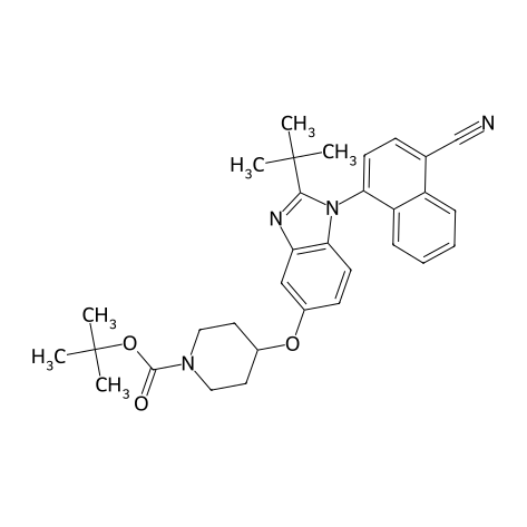 CC(C)(C)OC(=O)N1CCC(Oc2ccc3c(c2)nc(C(C)(C)C)n3-c2ccc(C#N)c3ccccc23)CC1